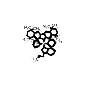 C=CCC1CC([Si](c2ccccc2)(c2ccccc2)C2C3C=C4C(=CC3C3C=C5C(=CC32)C(C)(C)CCC5(C)C)C(C)(C)CCC4(C)C)C2C=CC=CC12